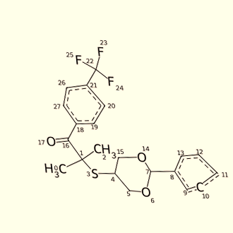 CC(C)(SC1COC(c2ccccc2)OC1)C(=O)c1ccc(C(F)(F)F)cc1